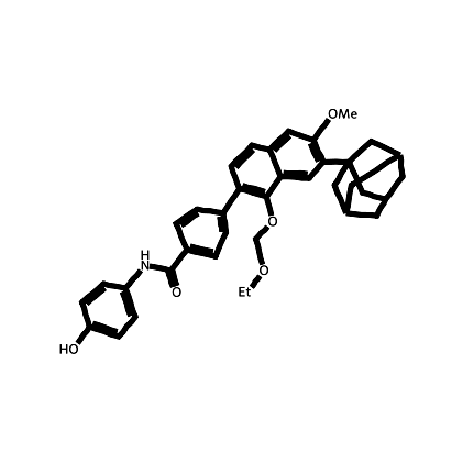 CCOCOc1c(-c2ccc(C(=O)Nc3ccc(O)cc3)cc2)ccc2cc(OC)c(C34CC5CC(CC(C5)C3)C4)cc12